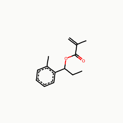 C=C(C)C(=O)OC(CC)c1ccccc1C